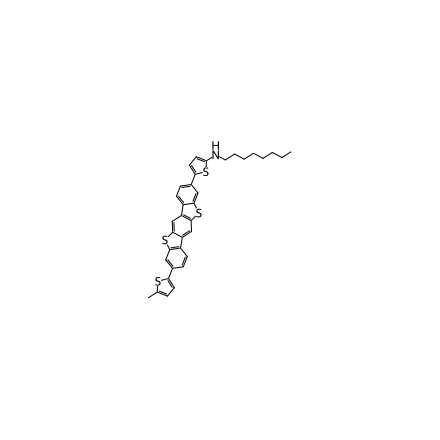 CCCCCCCCNc1ccc(-c2ccc3c(c2)sc2cc4c(cc23)sc2cc(-c3ccc(C)s3)ccc24)s1